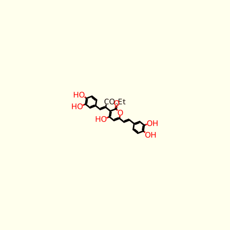 CCOC(=O)/C(=C\c1ccc(O)c(O)c1)c1c(O)cc(/C=C/c2ccc(O)c(O)c2)oc1=O